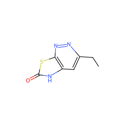 CCc1cc2[nH]c(=O)sc2nn1